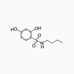 CCCCNS(=O)(=O)c1ccc(O)cc1O